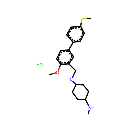 CNC1CCC(NCc2cc(-c3ccc(SC)cc3)ccc2OC)CC1.Cl